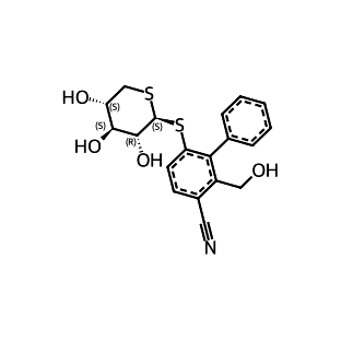 N#Cc1ccc(S[C@@H]2SC[C@@H](O)[C@H](O)[C@H]2O)c(-c2ccccc2)c1CO